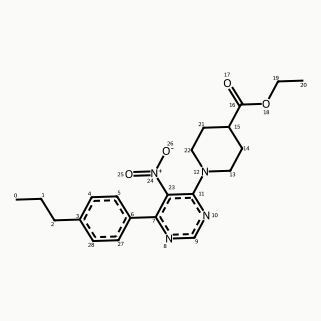 CCCc1ccc(-c2ncnc(N3CCC(C(=O)OCC)CC3)c2[N+](=O)[O-])cc1